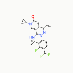 C=Cc1nnc(N[C@H](C)c2cccc(C(F)F)c2F)c2cn(C3CC3)c(=O)cc12